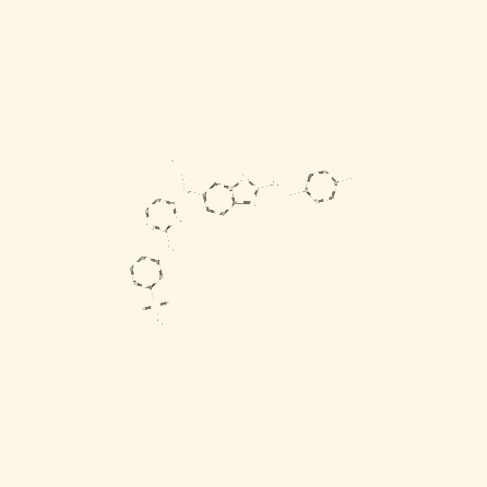 CN(c1ccc2c(c1)nc(NCc1ccc(F)cc1)n2C)c1ccnc(Nc2cccc(S(N)(=O)=O)c2)n1.Cl